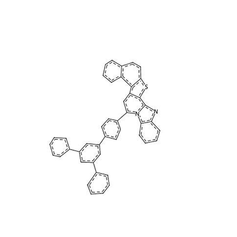 c1ccc(-c2cc(-c3ccccc3)cc(-c3ccc(-c4cc5c(sc6ccc7ccccc7c65)c5nc6ccccc6n45)cc3)c2)cc1